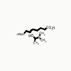 CC(O)N(C)C.CCCCCCCCCCCCCCCC(=O)O